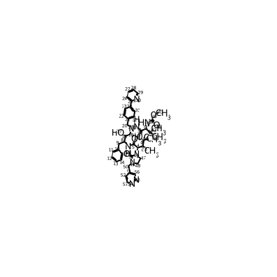 CCC(C)C(C(=O)NC(Cc1ccccc1)C(O)CN(Cc1ccc(-c2ccccn2)cc1)NC(=O)C(NC(=O)OC)C(C)(C)C)N1CCN(Cc2ccnnc2)C1=O